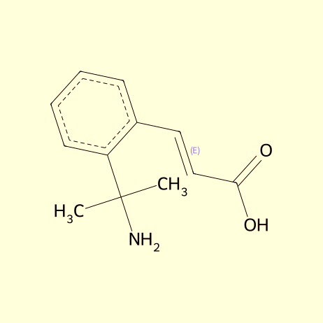 CC(C)(N)c1ccccc1/C=C/C(=O)O